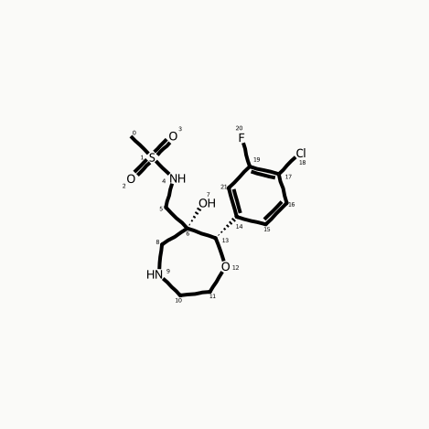 CS(=O)(=O)NC[C@]1(O)CNCCO[C@H]1c1ccc(Cl)c(F)c1